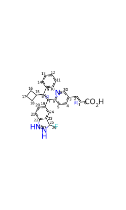 O=C(O)/C=C/c1ccc(/C(=C(\c2ccccc2)C2CCC2)c2ccc3c(c2)C(F)NN3)nc1